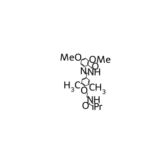 COc1cc(OC)c2c(=O)[nH]c(-c3cc(C)c(OCCNC(=O)C(C)C)c(C)c3)nc2c1